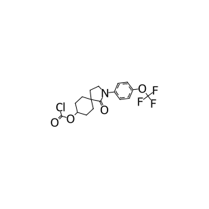 O=C(Cl)OC1CCC2(CC1)CCN(c1ccc(OC(F)(F)F)cc1)C2=O